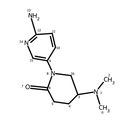 CN(C)C1CCC(=O)N(c2ccc(N)nc2)C1